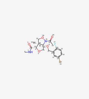 CNC(=O)[C@H]1OC[C@@]2(OCc3cc(Br)ccc3F)[C@@H]1CON2C(C)=O